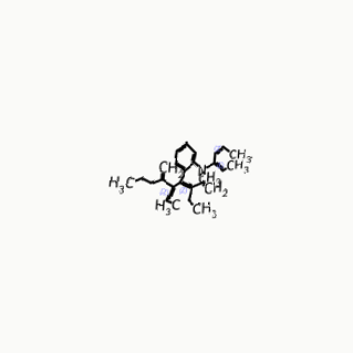 C=C/C(CC)=C(/C(=C\C)C(=C)CCC)c1ccccc1N(C)C(/C=C\C)=C/C